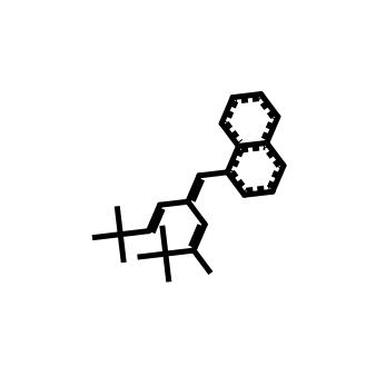 CC(=CC(C=CC(C)(C)C)=Cc1cccc2ccccc12)C(C)(C)C